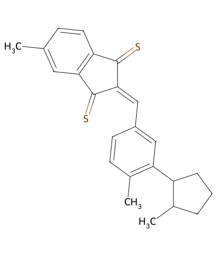 Cc1ccc2c(c1)C(=S)/C(=C\c1ccc(C)c(C3CCCC3C)c1)C2=S